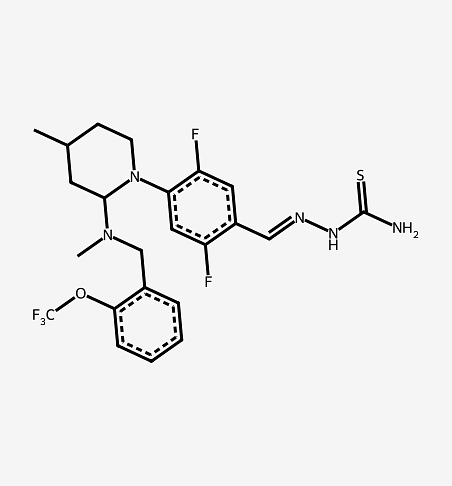 CC1CCN(c2cc(F)c(C=NNC(N)=S)cc2F)C(N(C)Cc2ccccc2OC(F)(F)F)C1